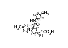 CCC(CC(=O)O)c1ccc(N2CCC(C)CC2)c(NC(=O)Nc2ccc(C)cc2)c1